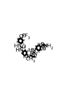 CN(c1ccc(NC(=O)Nc2ccc(OC(F)(F)F)cc2)cc1)c1ccnc(Nc2ccc(S(N)(=O)=O)cc2)n1